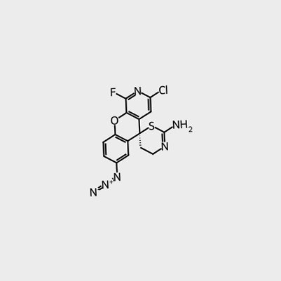 [N-]=[N+]=Nc1ccc2c(c1)[C@@]1(CCN=C(N)S1)c1cc(Cl)nc(F)c1O2